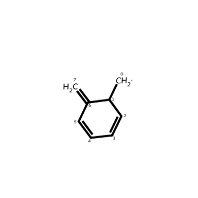 [CH2]C1C=CC=CC1=C